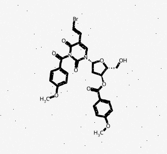 COc1ccc(C(=O)O[C@H]2C[C@H](n3cc(/C=C/Br)c(=O)n(C(=O)c4ccc(OC)cc4)c3=O)O[C@@H]2CO)cc1